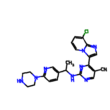 CC(Nc1ncc(C#N)c(-c2cnc3c(Cl)cccn23)n1)c1ccc(N2CCNCC2)nc1